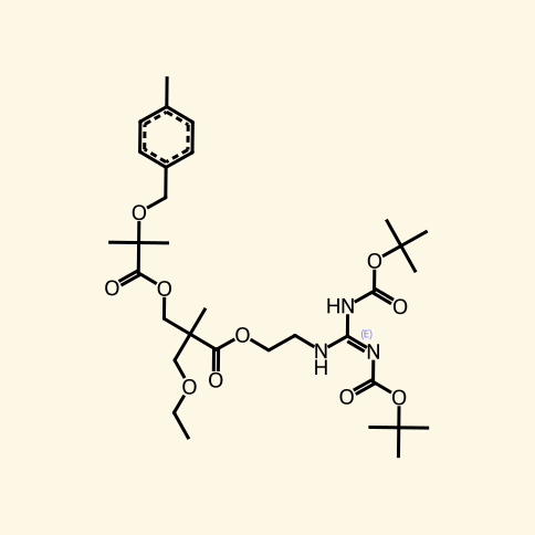 CCOCC(C)(COC(=O)C(C)(C)OCc1ccc(C)cc1)C(=O)OCCN/C(=N\C(=O)OC(C)(C)C)NC(=O)OC(C)(C)C